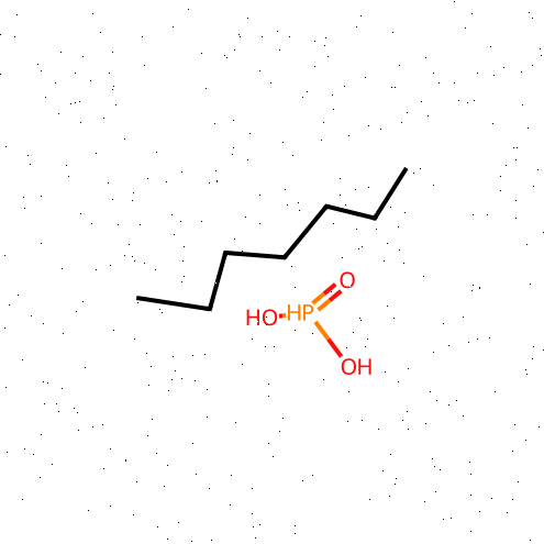 CCCCCCC.O=[PH](O)O